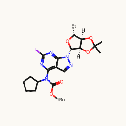 CC[C@H]1O[C@@H](n2ncc3c(N(C(=O)OC(C)(C)C)C4CCCC4)nc(I)nc32)[C@@H]2OC(C)(C)O[C@@H]21